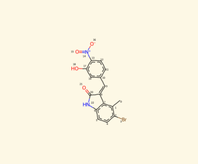 Cc1c(Br)ccc2c1C(=Cc1ccc([N+](=O)[O-])c(O)c1)C(=O)N2